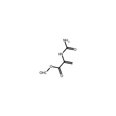 C=C(NC(N)=O)C(=O)OC=O